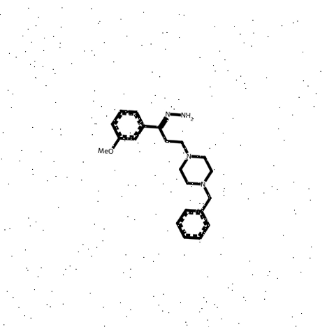 COc1cccc(C(CCN2CCN(Cc3ccccc3)CC2)=NN)c1